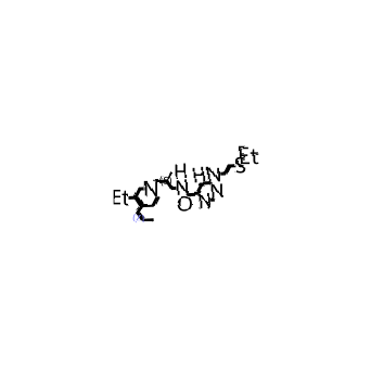 C/C=C\C1=C(CC)CN(C[C@@H](C)CNC(=O)C2=NC=NC(NCCSCC)C2)CC1